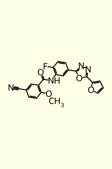 COc1ccc(C#N)cc1C(=O)Nc1cc(-c2nnc(-c3ccco3)o2)ccc1F